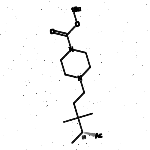 CC(=O)[C@H](C)C(C)(C)CCN1CCN(C(=O)OC(C)(C)C)CC1